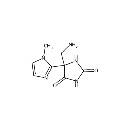 Cn1ccnc1C1(CN)NC(=O)NC1=O